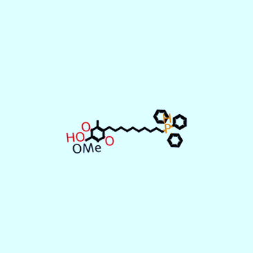 COC1=C(CO)C(=O)C(C)=C(CCCCCCCCCC[PH](c2ccccc2)(c2ccccc2)c2ccccc2)C1=O